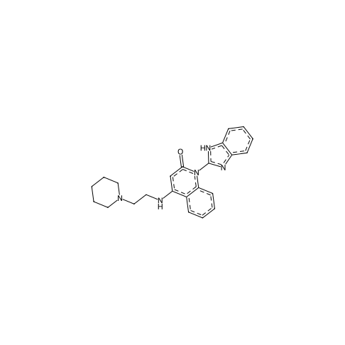 O=c1cc(NCCN2CCCCC2)c2ccccc2n1-c1nc2ccccc2[nH]1